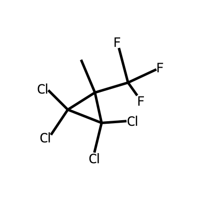 CC1(C(F)(F)F)C(Cl)(Cl)C1(Cl)Cl